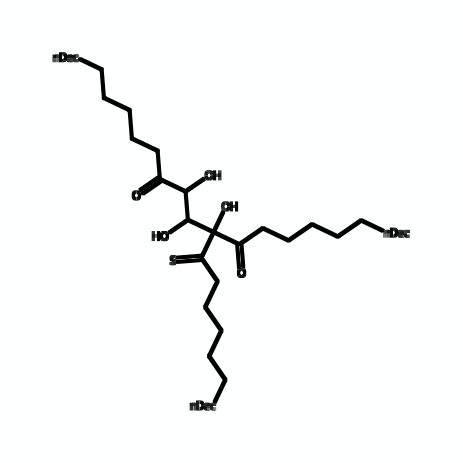 CCCCCCCCCCCCCCCC(=O)C(O)C(O)C(O)(C(=O)CCCCCCCCCCCCCCC)C(=S)CCCCCCCCCCCCCCC